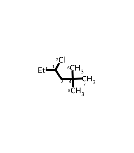 CCC(Cl)CC(C)(C)C